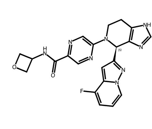 O=C(NC1COC1)c1cnc(N2CCc3[nH]cnc3[C@H]2c2cc3c(F)cccn3n2)cn1